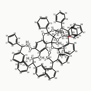 CC(=O)OC1(O)c2c(cc(O[SiH2]C(c3ccccc3)c3ccccc3)c(O[SiH2]C(c3ccccc3)c3ccccc3)c2O[SiH2]C(c2ccccc2)c2ccccc2)OC(O[SiH2]C(c2ccccc2)c2ccccc2)(c2ccccc2)C1(O)O[SiH2]C(c1ccccc1)c1ccccc1